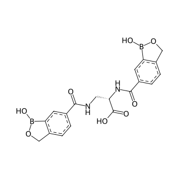 O=C(NC[C@H](NC(=O)c1ccc2c(c1)B(O)OC2)C(=O)O)c1ccc2c(c1)B(O)OC2